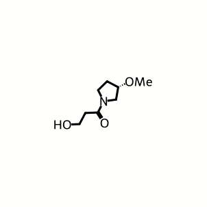 CO[C@H]1CCN(C(=O)CCO)C1